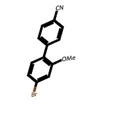 COc1cc(Br)ccc1-c1ccc(C#N)cc1